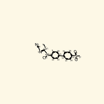 CSC(=NC#N)N(Cl)c1ccc(-c2ccc(S(C)(=O)=O)cc2)cc1